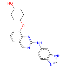 OC1CCC(Oc2cccc3cnc(Nc4ccc5nc[nH]c5c4)nc23)CC1